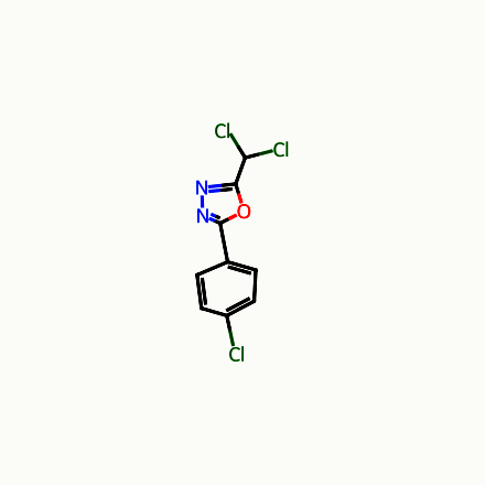 Clc1ccc(-c2nnc(C(Cl)Cl)o2)cc1